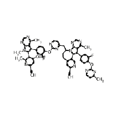 C#Cc1cc2c(cn1)-c1c(-c3ccc(Oc4nccc(C)n4)c(F)c3)c3c(C)ncnc3n1C(Cc1ccnc(Oc3ccc(-c4c(-c5c(OC)cc(C#C)nc5C)n(C)c5ncnc(C)c45)cc3F)n1)CC2